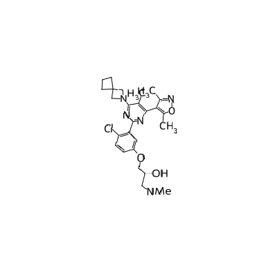 CNC[C@@H](O)COc1ccc(Cl)c(-c2nc(-c3c(C)noc3C)c(C)c(N3CC4(CCC4)C3)n2)c1